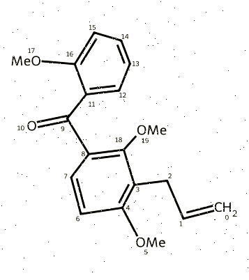 C=CCc1c(OC)ccc(C(=O)c2ccccc2OC)c1OC